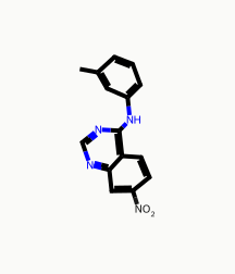 Cc1cccc(Nc2ncnc3cc([N+](=O)[O-])ccc23)c1